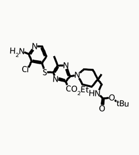 CCOC(=O)c1nc(Sc2ccnc(N)c2Cl)c(C)nc1N1CCC(C)(CNC(=O)OC(C)(C)C)CC1